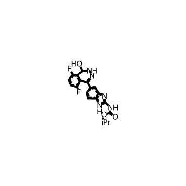 CC(C)OC(=O)Nc1nc2cc(C3=NNC(O)c4c(F)ccc(F)c43)ccc2[nH]1